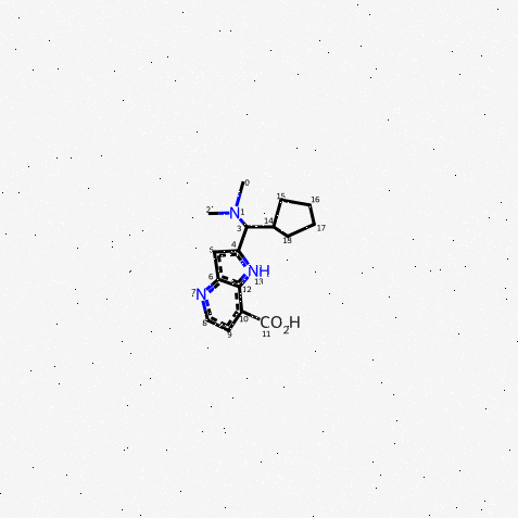 CN(C)C(c1cc2nccc(C(=O)O)c2[nH]1)C1CCCC1